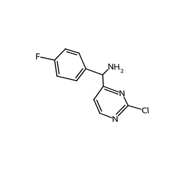 NC(c1ccc(F)cc1)c1ccnc(Cl)n1